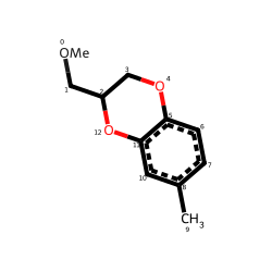 COCC1COc2ccc(C)cc2O1